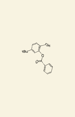 CC(C)(C)c1ccc(O)c(OC(=O)c2ccccc2)c1